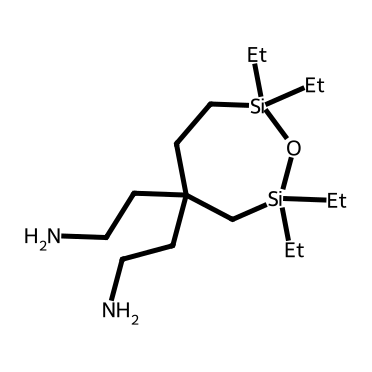 CC[Si]1(CC)CCC(CCN)(CCN)C[Si](CC)(CC)O1